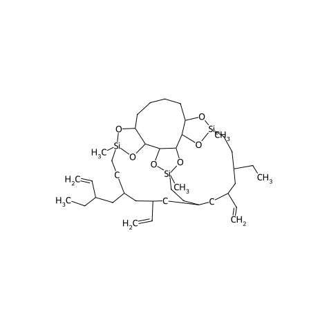 C=CC(CC)CC1CC[Si]2(C)OC3CCCCC4O[Si]5(C)CCC(CC)CC(C=C)CC(CC[Si]6(C)OC(C4O5)C(O6)C3O2)CC(C=C)C1